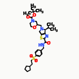 CC(C)[C@H]1c2nc(C(=O)NCc3ccc(S(=O)(=O)CCC4CCCC4)cc3)sc2CN1CC1CN(C(=O)OC(C)(C)C)CCO1